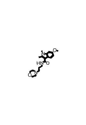 COc1ccc2c(C(=O)NCCCN3CCOCC3)c(C)n(C)c2c1